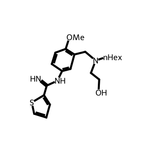 CCCCCCN(CCO)Cc1cc(NC(=N)c2cccs2)ccc1OC